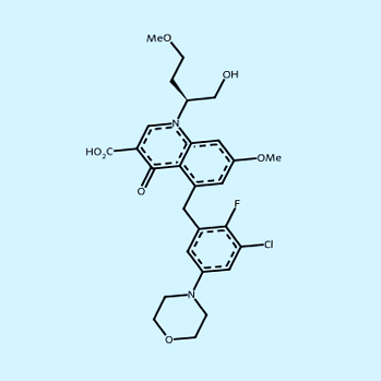 COCC[C@@H](CO)n1cc(C(=O)O)c(=O)c2c(Cc3cc(N4CCOCC4)cc(Cl)c3F)cc(OC)cc21